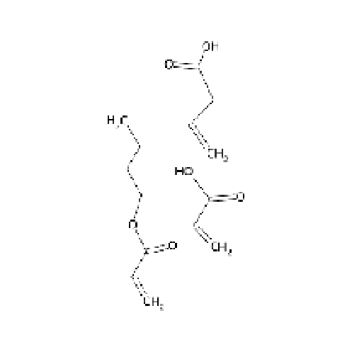 C=CC(=O)O.C=CC(=O)OCCCC.C=CCC(=O)O